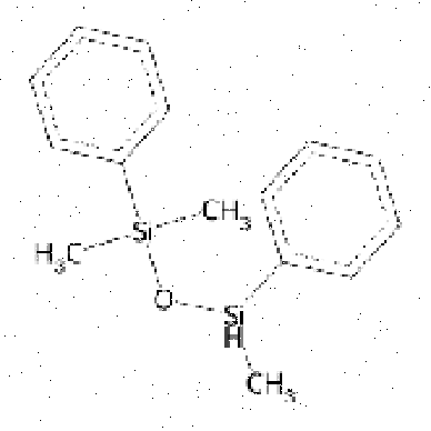 C[SiH](O[Si](C)(C)c1ccccc1)c1ccccc1